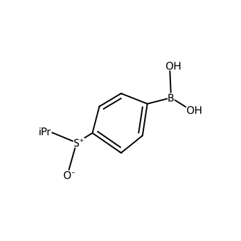 CC(C)[S+]([O-])c1ccc(B(O)O)cc1